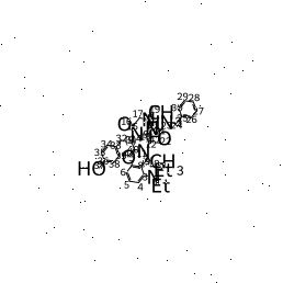 CCN(CC)c1ccccc1[C@H](C)N1C[C@H]2N(C(=O)CN(C)N2C(=O)NCc2ccccc2)[C@@H](Cc2ccc(O)cc2)C1=O